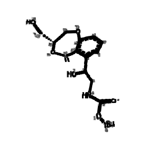 CC(C)(C)OC(=O)NCC(O)c1cccc2c1BO[C@H](CO)CO2